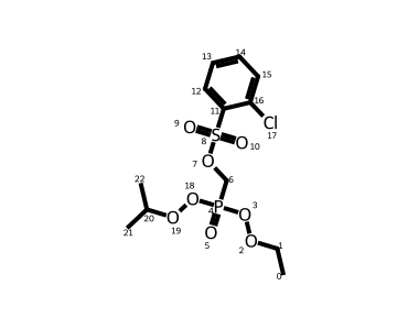 CCOOP(=O)(COS(=O)(=O)c1ccccc1Cl)OOC(C)C